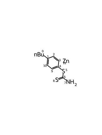 CCCCc1ccc(SC(N)=S)cc1.[Zn]